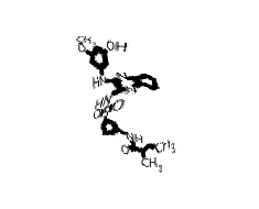 CCC(C)C(=O)Nc1cccc(S(=O)(=O)Nc2nc3ccccc3nc2Nc2cc(O)cc(OC)c2)c1